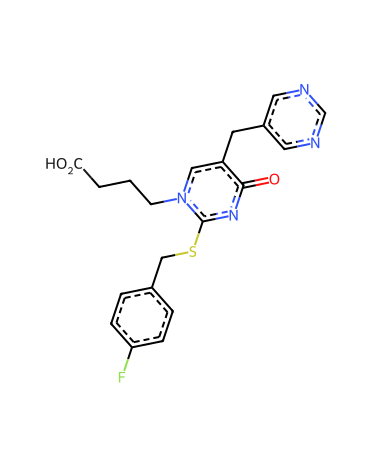 O=C(O)CCCn1cc(Cc2cncnc2)c(=O)nc1SCc1ccc(F)cc1